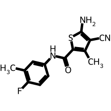 Cc1cc(NC(=O)c2sc(N)c(C#N)c2C)ccc1F